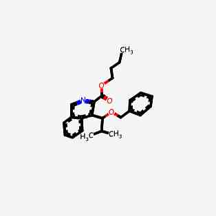 CCCCOC(=O)c1ncc2ccccc2c1C(OCc1ccccc1)C(C)C